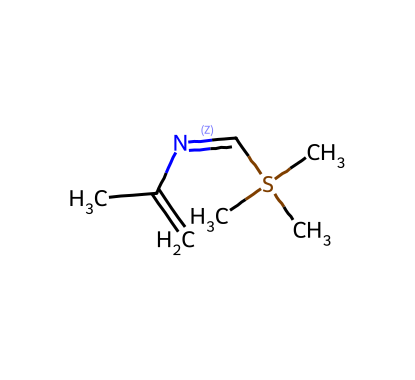 C=C(C)/N=C\S(C)(C)C